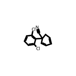 N#CC1(c2c(Cl)cccc2Cl)C=CC=CC1